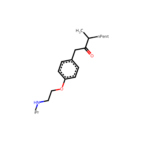 CCCCCC(C)C(=O)Cc1ccc(OCCNC(C)C)cc1